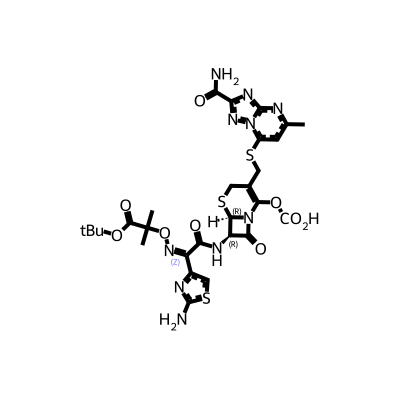 Cc1cc(SCC2=C(OC(=O)O)N3C(=O)[C@@H](NC(=O)/C(=N\OC(C)(C)C(=O)OC(C)(C)C)c4csc(N)n4)[C@H]3SC2)n2nc(C(N)=O)nc2n1